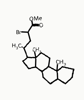 COC(=O)C(Br)C[C@@H](C)C1CCC2C3CCC4CCCCC4(C)C3CCC21C